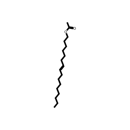 CCCCCCCC/C=C/CCCCCCOC(C)=O